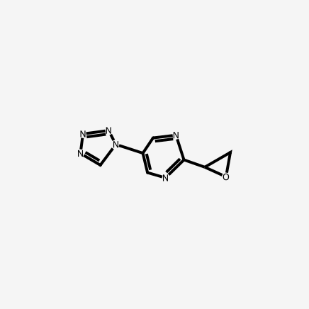 c1nc(C2CO2)ncc1-n1cnnn1